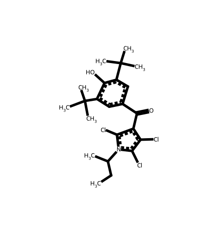 CCC(C)n1c(Cl)c(Cl)c(C(=O)c2cc(C(C)(C)C)c(O)c(C(C)(C)C)c2)c1Cl